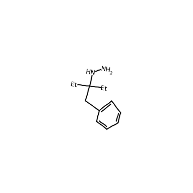 CCC(CC)(Cc1ccccc1)NN